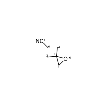 CC#N.CC1(C)CO1